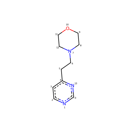 [c]1nccc(CCN2CCOCC2)n1